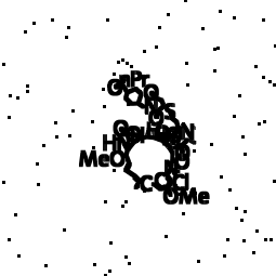 CCCC(=O)C1CCC(CN2C(=O)CC(SCCC(=O)N(C)[C@@H](C)C(=O)O[C@H]3CC(=O)N(C)c4cc(cc(OC)c4Cl)C/C(C)=C/C=C/[C@@H](OC)C4C[C@H](OC(=O)N4)[C@@H](C)[C@@H]4O[C@H]43)C2=O)CC1